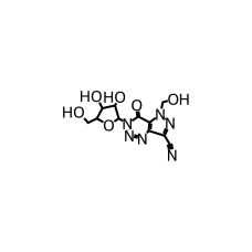 N#Cc1nn(CO)c2c(=O)n(C3OC(CO)C(O)C3O)nnc12